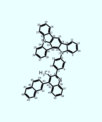 Cc1c(-c2ccc(-n3c4ccccc4c4cc5c6ccccc6n6c7ccccc7c(c43)c56)cc2)nc2ccccc2c1-c1ccc2ccccc2c1